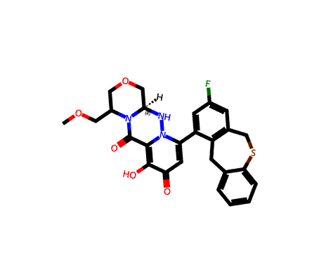 COCC1COC[C@H]2Nn3c(-c4cc(F)cc5c4Cc4ccccc4SC5)cc(=O)c(O)c3C(=O)N12